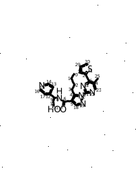 CCCCc1c(C(=O)NC(CO)c2ccncc2)cnn1-c1ncc(C)c(-c2cccs2)n1